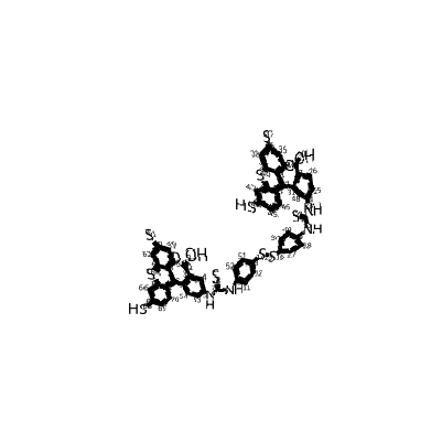 O=C(O)c1cc(NC(=S)Nc2ccc(SSc3ccc(NC(=S)Nc4ccc(C(=O)O)c(-c5c6ccc(=S)cc-6sc6cc(S)ccc56)c4)cc3)cc2)ccc1-c1c2ccc(=S)cc-2sc2cc(S)ccc12